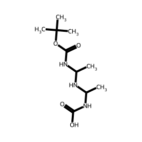 CC(NC(=O)O)NC(C)NC(=O)OC(C)(C)C